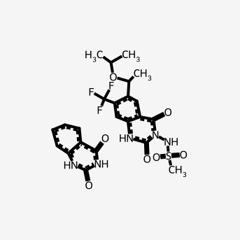 CC(C)OC(C)c1cc2c(=O)n(NS(C)(=O)=O)c(=O)[nH]c2cc1C(F)(F)F.O=c1[nH]c(=O)c2ccccc2[nH]1